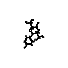 Cc1ccc(C[C@@H](CC(C)C(=O)C(C)C)C(C)C)cc1